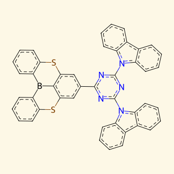 c1ccc2c(c1)Sc1cc(-c3nc(-n4c5ccccc5c5ccccc54)nc(-n4c5ccccc5c5ccccc54)n3)cc3c1B2c1ccccc1S3